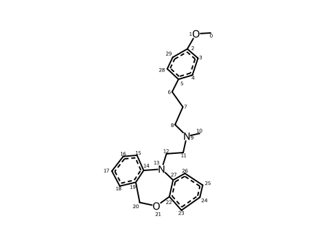 COc1ccc(CCCN(C)CCN2c3ccccc3COc3ccccc32)cc1